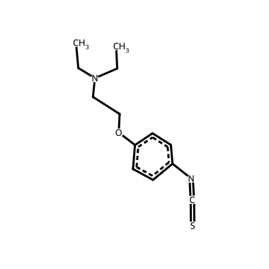 CCN(CC)CCOc1ccc(N=C=S)cc1